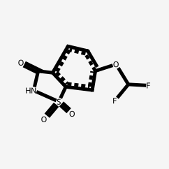 O=C1NS(=O)(=O)c2cc(OC(F)F)ccc21